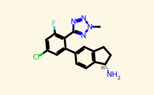 Cn1nnc(-c2c(F)cc(Cl)cc2-c2ccc3c(c2)CC[C@@H]3N)n1